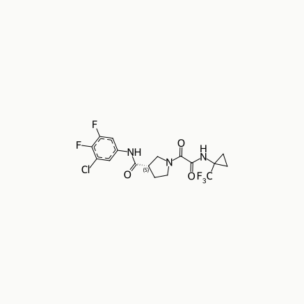 O=C(NC1(C(F)(F)F)CC1)C(=O)N1CC[C@H](C(=O)Nc2cc(F)c(F)c(Cl)c2)C1